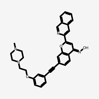 CN1CCN(CCOc2cccc(C#Cc3ccc4c(=NO)cc(-c5cc6ccccc6cn5)oc4c3)c2)CC1